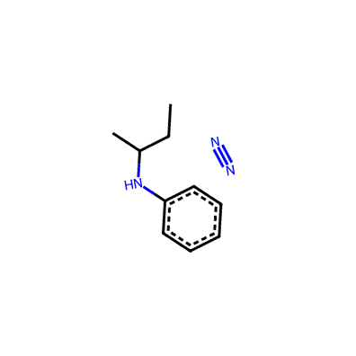 CCC(C)Nc1ccccc1.N#N